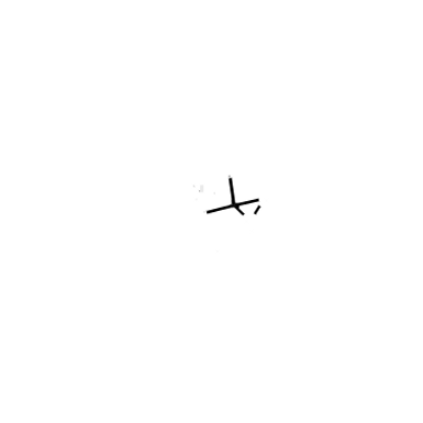 N.OC1(O)OS1.[Zn]